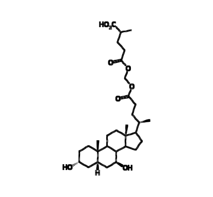 CC(CCC(=O)OCOC(=O)CC[C@@H](C)C1CCC2C3C(CC[C@@]21C)[C@@]1(C)CC[C@@H](O)C[C@H]1C[C@@H]3O)C(=O)O